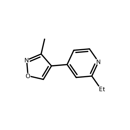 CCc1cc(-c2conc2C)ccn1